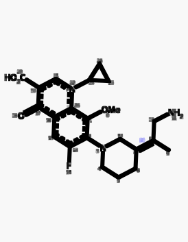 COc1c(N2CCC/C(=C(\C)CN)C2)c(F)cc2c(=O)c(C(=O)O)cn(C3CC3)c12